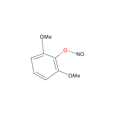 COc1cccc(OC)c1ON=O